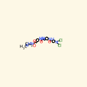 CN(C)CCCNC(=O)c1cc2cc(NC(=O)c3cc4cc(NC(=O)c5ccc(N(CCCl)CCCl)cc5)ccc4[nH]3)ccc2o1